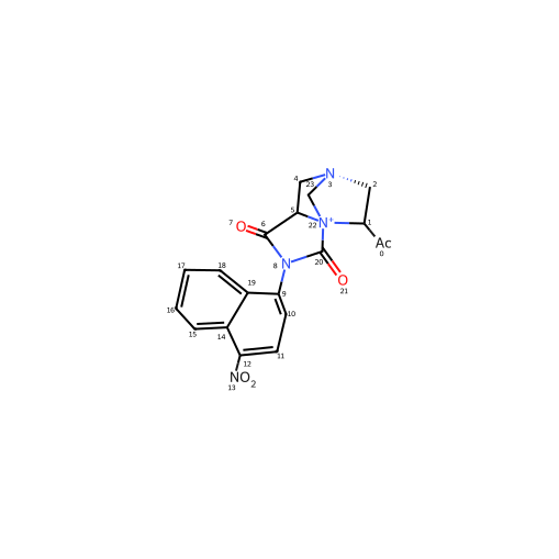 CC(=O)C1C[N@@]2CC3C(=O)N(c4ccc([N+](=O)[O-])c5ccccc45)C(=O)[N+]13C2